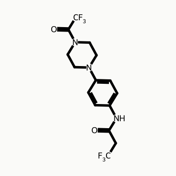 O=C(CC(F)(F)F)Nc1ccc(N2CCN(C(=O)C(F)(F)F)CC2)cc1